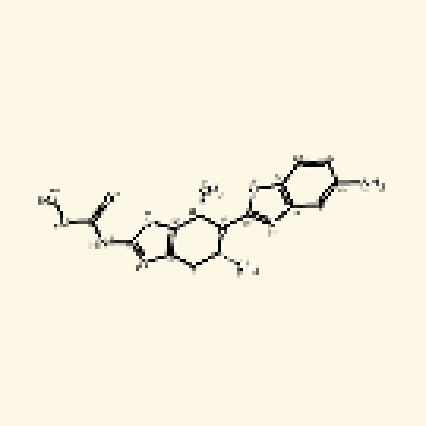 C[C@@H]1Cc2nc(NC(=O)OC(C)(C)C)sc2[C@H](C)N1c1nc2cc(N)ccc2o1